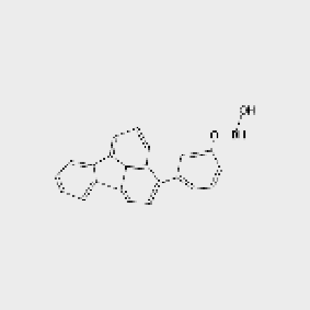 OBOc1cccc(-c2ccc3c4c(cccc24)-c2ccccc2-3)c1